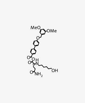 COc1cc(COc2ccc(-c3ccc(C(=O)OC(=O)[C@H](CCC(N)=O)NCCCCCCO)cc3)cc2)cc(OC)c1